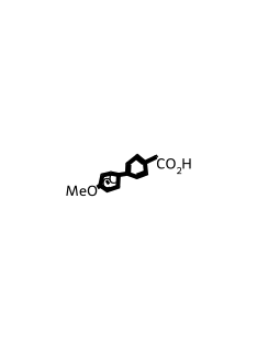 COC12CCC(c3ccc(CC(=O)O)cc3)(CC1)CC2